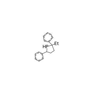 CCC1(c2ccccc2)CCC(c2ccccc2)P1